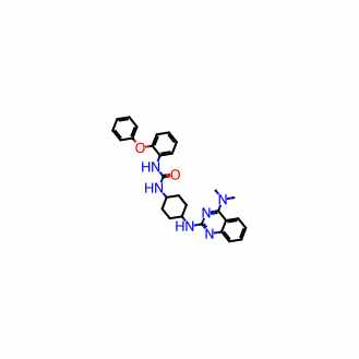 CN(C)c1nc(NC2CCC(NC(=O)Nc3ccccc3Oc3ccccc3)CC2)nc2ccccc12